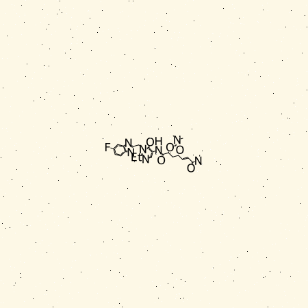 CCn1c(Cn2cncc(NC(=O)C(CCC=CC(=O)N(C)C)OC(=O)N(C)C)c2=O)nc2cc(F)ccc21